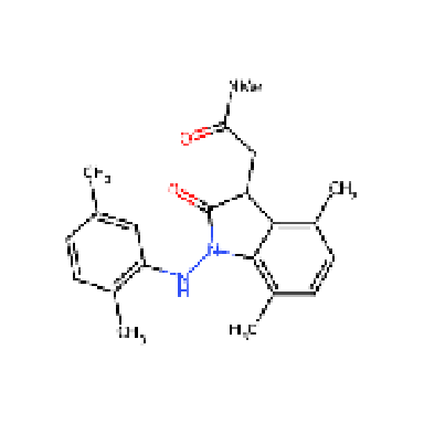 CNC(=O)CC1C(=O)N(Nc2cc(C)ccc2C)c2c(C)ccc(C)c21